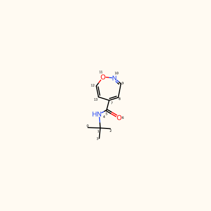 CC(C)(C)NC(=O)C1=CC=NOC=C1